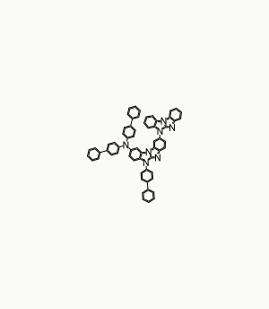 c1ccc(-c2ccc(N(c3ccc(-c4ccccc4)cc3)c3ccc4c(c3)n3c5cc(-n6c7ccccc7n7c8ccccc8nc67)ccc5nc3n4-c3ccc(-c4ccccc4)cc3)cc2)cc1